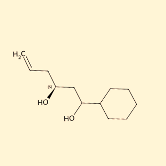 C=CC[C@H](O)CC(O)C1CCCCC1